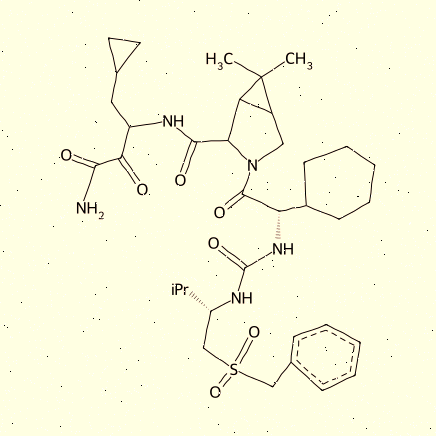 CC(C)[C@@H](CS(=O)(=O)Cc1ccccc1)NC(=O)N[C@H](C(=O)N1CC2C(C1C(=O)NC(CC1CC1)C(=O)C(N)=O)C2(C)C)C1CCCCC1